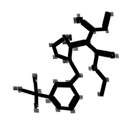 C=CC(=N)/C(C(=O)OCC)=C1\NCCN1Cc1cccc(C(F)(F)F)c1